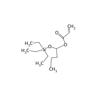 C=CC(=O)OC(CCC)O[Si](CC)(CC)CC